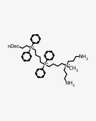 CCCCCCCCCCCC[P+](CCCC[P+](CCCC[N+](C)(CCCN)CCCN)(c1ccccc1)c1ccccc1)(c1ccccc1)c1ccccc1